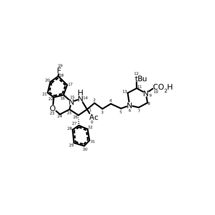 CC(=O)C1(CCCCN2CCN(C(=O)O)C(C(C)(C)C)C2)NN2c3cc(F)ccc3OCC2[C@H]1c1ccccc1